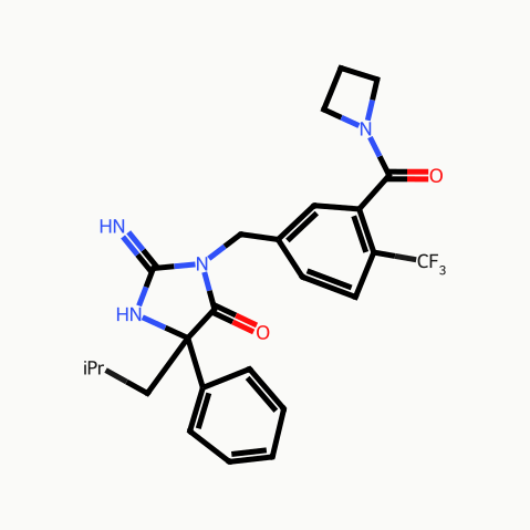 CC(C)CC1(c2ccccc2)NC(=N)N(Cc2ccc(C(F)(F)F)c(C(=O)N3CCC3)c2)C1=O